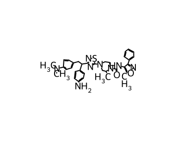 Cc1onc(-c2ccccc2)c1NC(=O)N1CCN(c2nc(C(Cc3ccc(N(C)C)cc3)c3ccc(N)cc3)ns2)CC1C